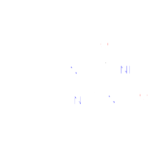 CC#Cc1nc2c(c(=O)[nH]c(=O)n2C)n1C